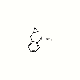 NNc1ccccc1CC1CC1